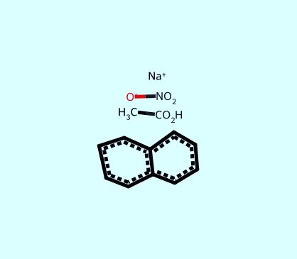 CC(=O)O.O=[N+]([O-])[O-].[Na+].c1ccc2ccccc2c1